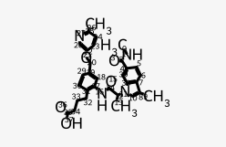 CNC(=O)c1ccc2c(C)cn(C(C)C(=O)Nc3cc(COc4ccc(C)nc4)ccc3CCCC(=O)O)c2c1